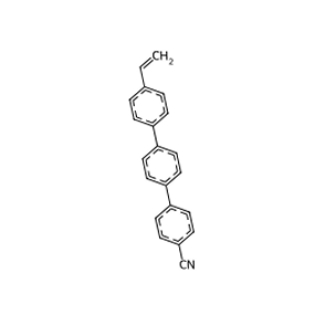 C=Cc1ccc(-c2ccc(-c3ccc(C#N)cc3)cc2)cc1